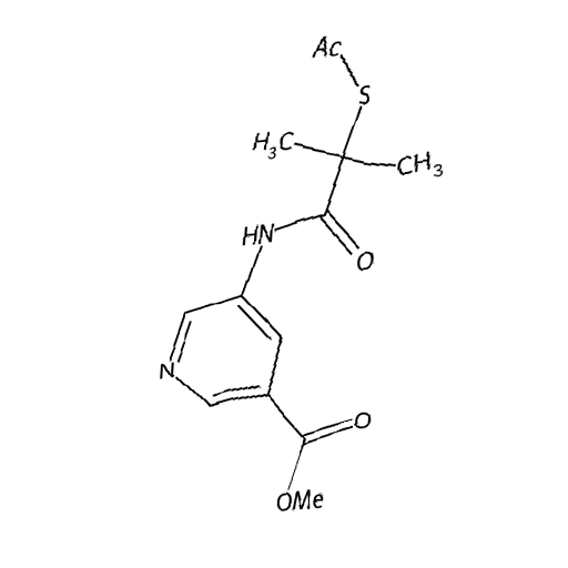 COC(=O)c1cncc(NC(=O)C(C)(C)SC(C)=O)c1